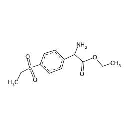 CCOC(=O)C(N)c1ccc(S(=O)(=O)CC)cc1